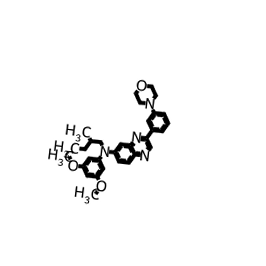 CCC(C)CN(c1cc(OC)cc(OC)c1)c1ccc2ncc(-c3cccc(N4CCOCC4)c3)nc2c1